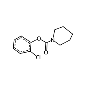 O=C(Oc1ccccc1Cl)N1CCCCC1